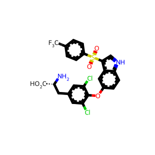 N[C@H](Cc1cc(Cl)c(Oc2ccc3[nH]cc(S(=O)(=O)c4ccc(C(F)(F)F)cc4)c3c2)c(Cl)c1)C(=O)O